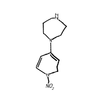 O=[N+]([O-])N1C=CC(N2CCNCC2)=CC1